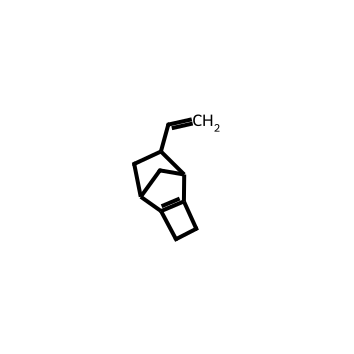 C=CC1CC2CC1C1=C2CC1